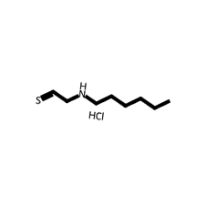 CCCCCCNCC=S.Cl